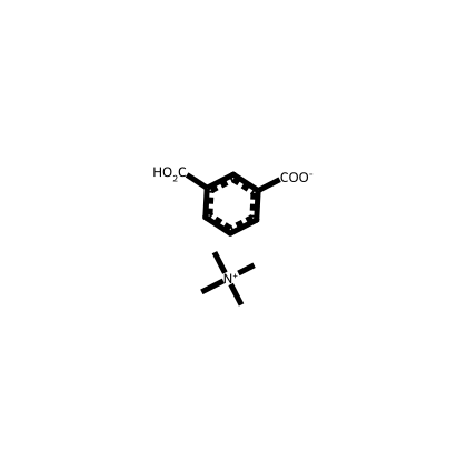 C[N+](C)(C)C.O=C([O-])c1cccc(C(=O)O)c1